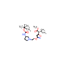 COC(=O)C(c1cc(OCCN2CCC(NC(=O)OC(C)(C)C)C2)no1)C(C)C